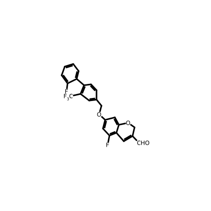 O=CC1=Cc2c(F)cc(OCc3ccc(-c4ccccc4F)c(C(F)(F)F)c3)cc2OC1